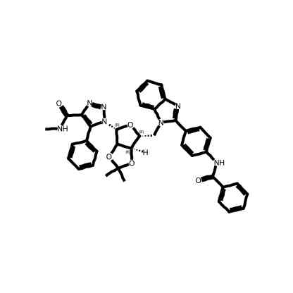 CNC(=O)c1nnn([C@@H]2O[C@H](Cn3c(-c4ccc(NC(=O)c5ccccc5)cc4)nc4ccccc43)[C@H]3OC(C)(C)OC23)c1-c1ccccc1